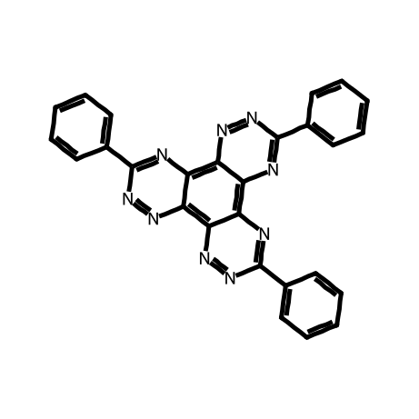 c1ccc(-c2nnc3c4nnc(-c5ccccc5)nc4c4nc(-c5ccccc5)nnc4c3n2)cc1